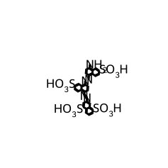 Nc1ccc(N=Nc2ccc(N=Nc3cc(S(=O)(=O)O)c4cccc(S(=O)(=O)O)c4c3)c3ccc(S(=O)(=O)O)cc23)c2ccc(S(=O)(=O)O)cc12